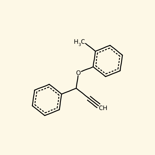 C#CC(Oc1ccccc1C)c1ccccc1